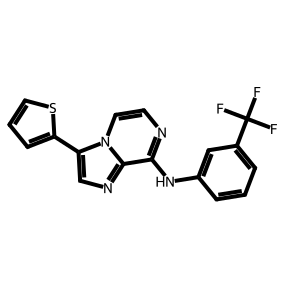 FC(F)(F)c1cccc(Nc2nccn3c(-c4cccs4)cnc23)c1